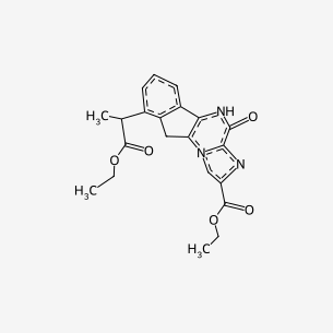 CCOC(=O)c1cn2c3c([nH]c(=O)c2n1)-c1cccc(C(C)C(=O)OCC)c1C3